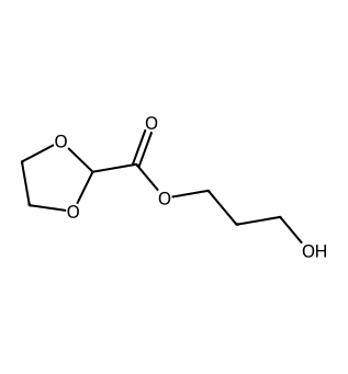 O=C(OCCCO)C1OCCO1